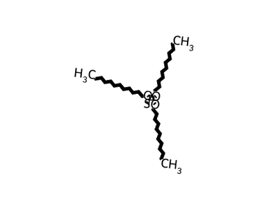 CCCCCCCCCCCCOP(=S)(OCCCCCCCCCCCC)OCCCCCCCCCCCC